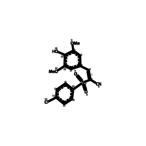 COc1cc(/C=C(/C#N)S(=O)(=O)c2ccc(Cl)cc2)cc(OC)c1O